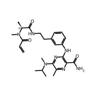 C=CC(=O)N(C)[C@@H](C)C(=O)NCCc1cccc(Nc2nc(N(C)C(C)C)c(C)nc2C(N)=O)c1